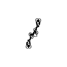 Cl.O=C(/C=C/C(=O)OCCCN1CCS(=O)(=O)CC1)OCCCN1CCS(=O)(=O)CC1